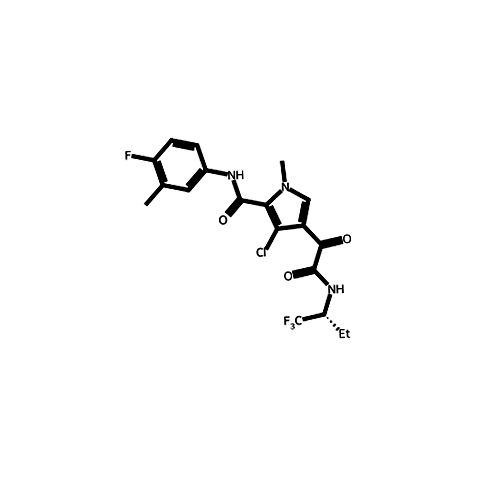 CC[C@@H](NC(=O)C(=O)c1cn(C)c(C(=O)Nc2ccc(F)c(C)c2)c1Cl)C(F)(F)F